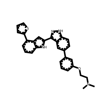 CN(C)CCOc1cccc(-c2ccc3[nH]nc(-c4cc5c(-c6cccs6)cccc5[nH]4)c3c2)c1